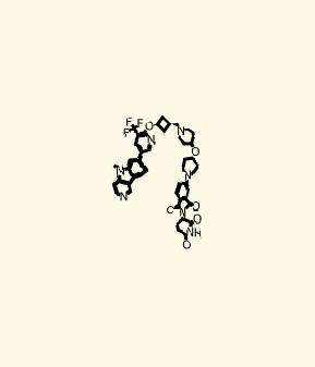 Cn1c2ccncc2c2ccc(-c3cnc(O[C@H]4C[C@H](CN5CCC(OC6CCN(c7ccc8c(c7)C(=O)N(C7CCC(=O)NC7=O)C8=O)CC6)CC5)C4)c(C(F)(F)F)c3)cc21